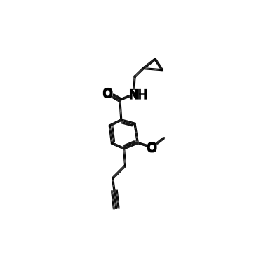 C#CCCc1ccc(C(=O)NCC2CC2)cc1OC